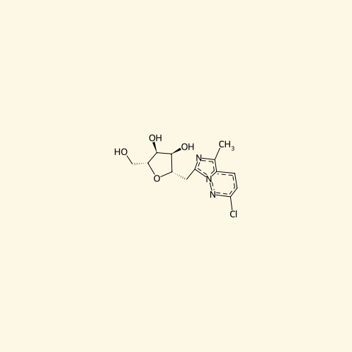 Cc1nc(C[C@@H]2O[C@H](CO)[C@@H](O)[C@H]2O)n2nc(Cl)ccc12